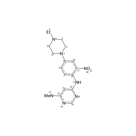 CCN1CCN(c2ccc(Nc3cc(NC)ncn3)c([N+](=O)[O-])c2)CC1